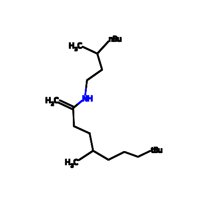 C=C(CCC(C)CCCC(C)(C)C)NCCC(C)CCCC